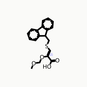 COCO/C(=C\SCC1c2ccccc2-c2ccccc21)C(=O)O